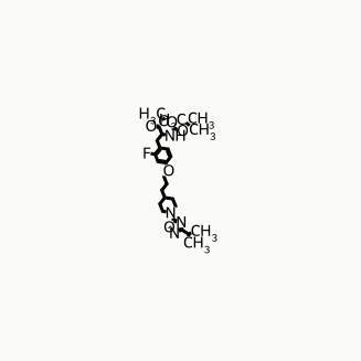 COC(=O)C(Cc1ccc(OCCCC2CCN(c3nc(C(C)C)no3)CC2)cc1F)NC(=O)OC(C)(C)C